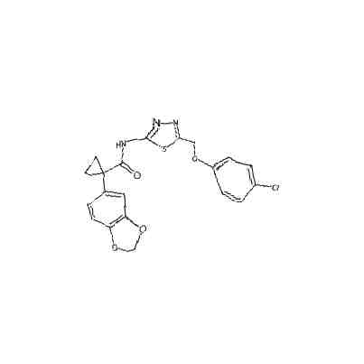 O=C(Nc1nnc(COc2ccc(Cl)cc2)s1)C1(c2ccc3c(c2)OCO3)CC1